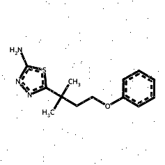 CC(C)(CCOc1ccccc1)c1nnc(N)s1